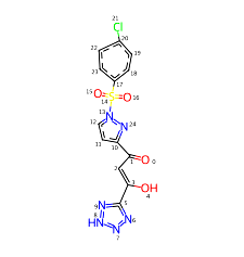 O=C(C=C(O)c1nn[nH]n1)c1ccn(S(=O)(=O)c2ccc(Cl)cc2)n1